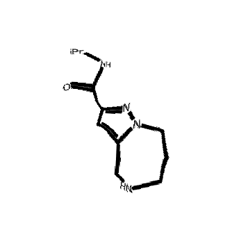 CC(C)NC(=O)c1cc2n(n1)CCCNC2